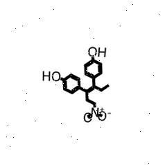 CCC(=C(CC[N+](=O)[O-])c1ccc(O)cc1)c1ccc(O)cc1